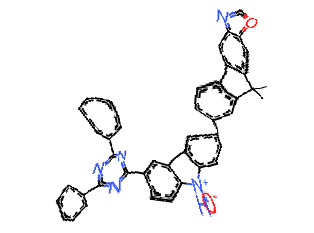 CC1(C)c2cc(-c3ccc4c(c3)-c3cc(-c5nc(-c6ccccc6)nc(-c6ccccc6)n5)ccc3[NH+]4[O-])ccc2-c2cc3ncoc3cc21